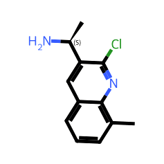 Cc1cccc2cc([C@H](C)N)c(Cl)nc12